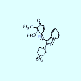 CC1=C(O)/C(=N/c2c(N3CCN(C)CC3)nn3ccccc23)C=CC1=O